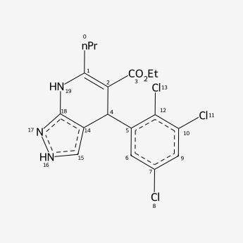 CCCC1=C(C(=O)OCC)C(c2cc(Cl)cc(Cl)c2Cl)c2c[nH]nc2N1